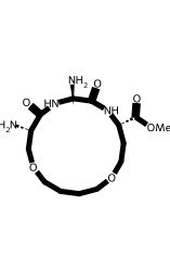 COC(=O)[C@@H]1CCOCCCCOC[C@H](N)C(=O)N[C@@H](N)C(=O)N1